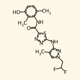 Cc1cn(CC(F)F)nc1Nc1nnc(C(=O)Nc2c(C)ccc(O)c2C)s1